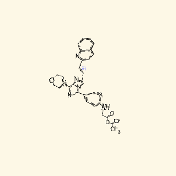 O=C(CNc1ccc(-c2cnc(N3CCOCC3)c3nc(/C=C/c4ccc5ccccc5n4)cn23)cn1)OC(=O)C(F)(F)F